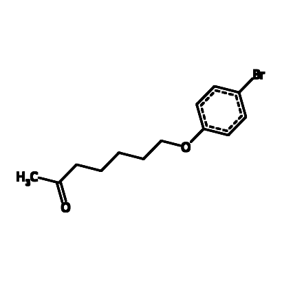 CC(=O)CCCCCOc1ccc(Br)cc1